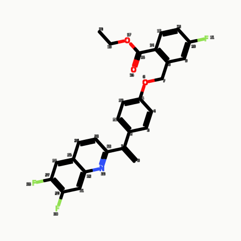 C=C(c1ccc(OCc2cc(F)ccc2C(=O)OCC)cc1)c1ccc2cc(F)c(F)cc2n1